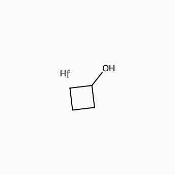 OC1CCC1.[Hf]